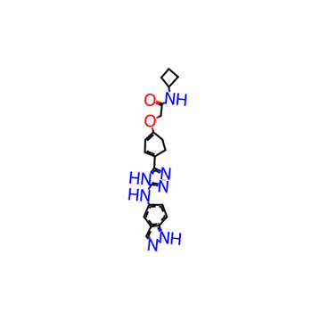 O=C(COC1=CC=C(c2nnc(Nc3ccc4[nH]ncc4c3)[nH]2)CC1)NC1CCC1